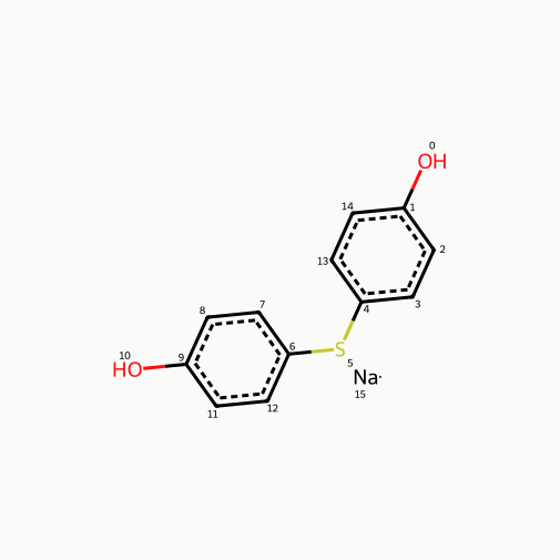 Oc1ccc(Sc2ccc(O)cc2)cc1.[Na]